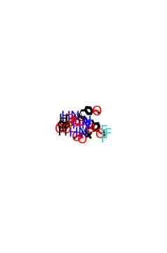 COC(=O)N[C@H](C(=O)NN(Cc1ccc(OC(F)(F)F)cc1)C[C@H](O)[C@H](Cc1ccc(OC)cc1)NC(=O)O[C@H]1CO[C@H]2OCC[C@H]21)C(C)(C)C